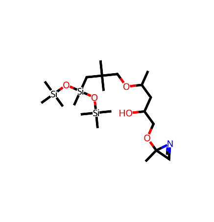 CC(CC(O)COC1(C)C=N1)OCC(C)(C)C[Si](C)(O[Si](C)(C)C)O[Si](C)(C)C